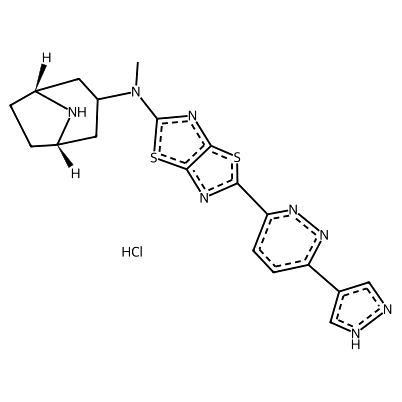 CN(c1nc2sc(-c3ccc(-c4cn[nH]c4)nn3)nc2s1)C1C[C@H]2CC[C@@H](C1)N2.Cl